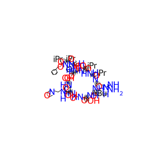 C=C=C1N[C@@H](CO)C(=O)O[C@H](c2ccccc2)[C@H](NC(=O)[C@H](CC(C)C)NC(=O)[C@@H](CC(C)C)NC(=O)OCc2ccccc2)C(=O)N[C@@H]([C@H](O)C(C)C)C(=O)N[C@@H](CC(C)C)C(=O)N[C@H](CCCNC(=N)N)C(=O)N[C@@H]([C@@H](C)CC)C(=O)N[C@@H]([C@H](C)O)C(=O)NCC(=O)N[C@H]1[C@H](O)C(=O)NCCCN1CCOCC1